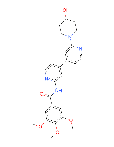 COc1cc(C(=O)Nc2cc(-c3ccnc(N4CCC(O)CC4)c3)ccn2)cc(OC)c1OC